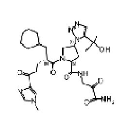 Cn1cnc(C(=O)CC[C@H](CC2CCCCC2)C(=O)N2C[C@@H](n3nncc3C(C)(C)O)C[C@H]2C(=O)NCC(=O)C(N)=O)c1